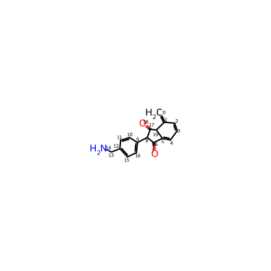 C=C1C=CC=C2C(=O)C(c3ccc(CN)cc3)C(=O)C12